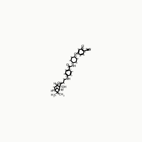 CC1(C)[C@@H]2C[C@H]1[C@](O)(CCCNc1ccc(C(=O)N[C@H]3CC[C@H](Oc4ccc(C#N)c(Cl)c4)CC3)cc1)[C@@H](O)C2